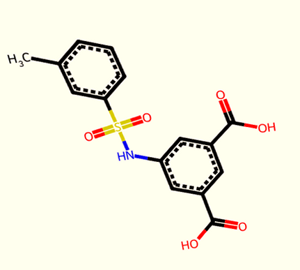 Cc1cccc(S(=O)(=O)Nc2cc(C(=O)O)cc(C(=O)O)c2)c1